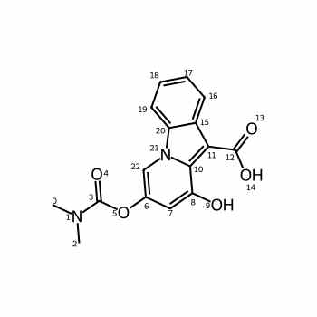 CN(C)C(=O)Oc1cc(O)c2c(C(=O)O)c3ccccc3n2c1